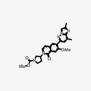 COc1cc2c(=O)n(C3CCN(C(=O)OC(C)(C)C)C3)ccc2cc1-c1cc(C)c2nc(C)cn2n1